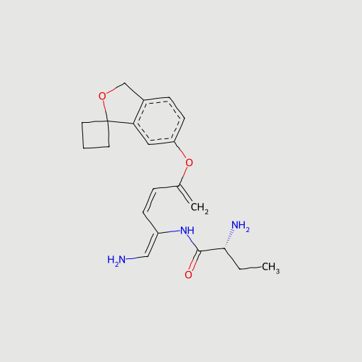 C=C(/C=C\C(=C/N)NC(=O)[C@H](N)CC)Oc1ccc2c(c1)C1(CCC1)OC2